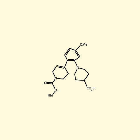 CCOC(=O)C1CCN(c2cc(OC)ccc2C2=CCN(C(=O)OC(C)(C)C)CC2)CC1